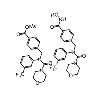 COC(=O)c1ccc(CN(C(=O)N2CCOCC2)c2cccc(C(F)(F)F)c2)cc1.O=C(NO)c1ccc(CN(C(=O)N2CCOCC2)c2cccc(C(F)(F)F)c2)cc1